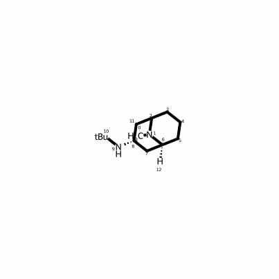 CN1C2CCC[C@H]1C[C@H](NC(C)(C)C)C2